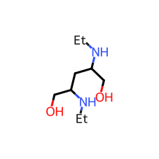 CCNC(CO)CC(CO)NCC